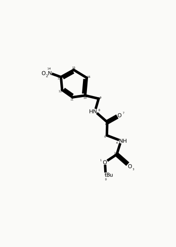 CC(C)(C)OC(=O)NCC(=O)NCc1ccc([N+](=O)[O-])cc1